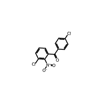 O=C(c1ccc(Cl)cc1)c1cccc(Cl)c1[N+](=O)[O-]